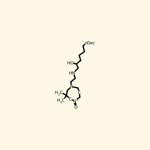 CCCCCCCCCCCCCCC(O)CNCCN1CCC[N+](=O)CC(C)(C)C1